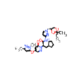 Cn1nc(C(F)(F)F)cc1Oc1cnn(C(CC2CCCC2)C(=O)Nc2ccn(C[C@@H]3COC(C)(C)O3)n2)c(=O)c1